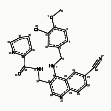 COc1ccc(CNc2c(CNC(=O)c3ccccn3)cnc3ccc(C#N)cc23)cc1Cl